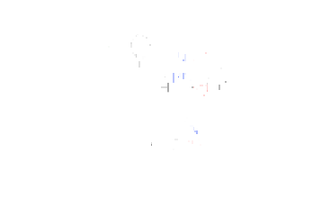 CC(=O)N1CC[C@@H](CC(=O)N[C@@H](C(=O)N2CCC(c3ccc(Cl)cc3)C(C)(C)C2)C(C)C)C1